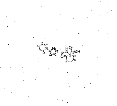 O=C(Cc1csc(-c2ccccc2)n1)NC1(C(=O)O)CCCCC1